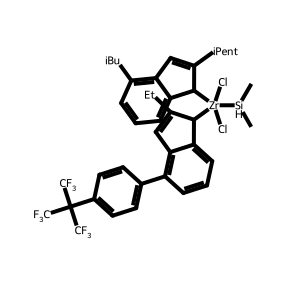 CCCC(C)C1=Cc2c(C(C)CC)cccc2[CH]1[Zr]([Cl])([Cl])([CH]1C(CC)=Cc2c(-c3ccc(C(C(F)(F)F)(C(F)(F)F)C(F)(F)F)cc3)cccc21)[SiH](C)C